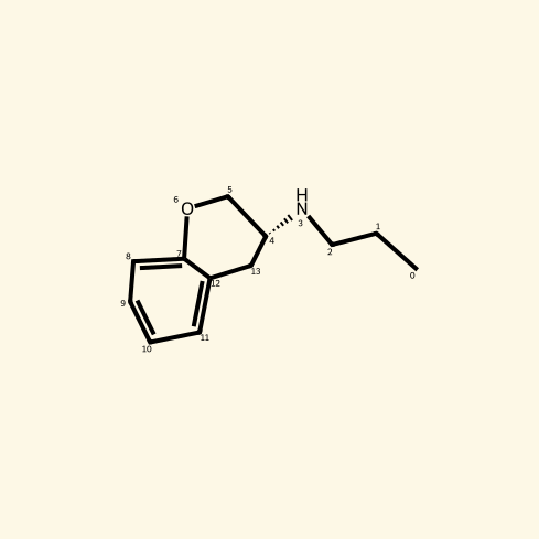 CCCN[C@H]1COc2ccccc2C1